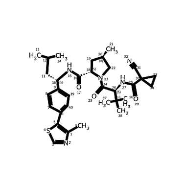 Cc1ncsc1-c1ccc([C@H](CC(C)C)NC(=O)[C@@H]2C[C@@H](C)CN2C(=O)[C@@H](NC(=O)C2(C#N)CC2)C(C)(C)C)cc1